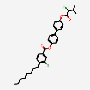 CCCCCCCCc1ccc(C(=O)Oc2ccc(-c3ccc(OC(=O)C(Cl)C(C)C)cc3)cc2)cc1Cl